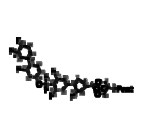 CCCCCC12COC(c3ccc(-c4cc(F)c(C(F)(F)Oc5ccc(-c6ccc(F)c(F)c6)c(F)c5)c(F)c4)c(F)c3)(OC1)OC2